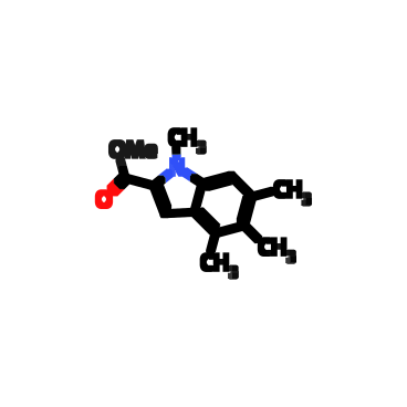 COC(=O)c1cc2c(C)c(C)c(C)cc2n1C